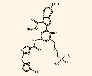 CC(C)(C)OC(=O)n1c(-c2cc(NC(=O)c3cnn(Cc4ccc(Cl)s4)c3)cn(COCC[Si](C)(C)C)c2=O)cc2cc(C=O)ccc21